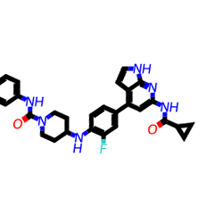 O=C(Nc1cc(-c2ccc(NC3CCN(C(=O)Nc4ccccc4)CC3)c(F)c2)c2cc[nH]c2n1)C1CC1